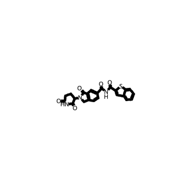 O=C1CCC(N2Cc3ccc(C(=O)NC(=O)c4cc5ccccc5s4)cc3C2=O)C(=O)N1